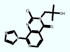 CC(C)(O)Cn1c(Cl)nc2c(-n3ccnc3)nccc2c1=O